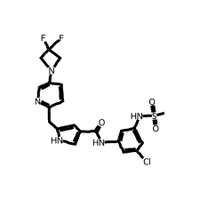 CS(=O)(=O)Nc1cc(Cl)cc(NC(=O)c2c[nH]c(Cc3ccc(N4CC(F)(F)C4)cn3)c2)c1